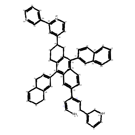 N/C=C\C(=C/CC1=CC=CNC1)c1ccc2c(-c3ccc4ccccc4c3)c3c(c(C4=CCC5C=CCCC5=C4)c2c1)CCC(c1ccnc(-c2cccnc2)c1)C3